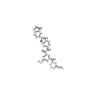 CN1CCCC(Nc2cc(C(=O)Nc3ccc4[nH]c(-c5ccc6cn[nH]c6c5)nc4c3)cc(C(F)(F)F)c2)C1